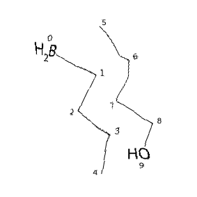 BCCCC.CCCCO